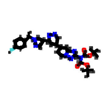 C[C@H](c1ccc(F)cc1)n1cc(-c2cc(-c3ccn4nc(N(C(=O)OC(C)(C)C)C(=O)OC(C)(C)C)nc4c3)cnn2)cn1